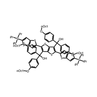 CCCCCCCCOc1ccc(C(O)(c2ccc(OCCCCCCCC)cc2)c2c(-c3cc4sc([Si](C(C)C)(C(C)C)C(C)C)cc4s3)sc3c(C(O)(c4ccc(OCCCCCCCC)cc4)c4ccc(OCCCCCCCC)cc4)c(-c4cc5sc([Si](C(C)C)(C(C)C)C(C)C)cc5s4)sc23)cc1